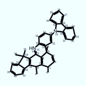 CC1C=CC2(C)C3=C1C(C)C1=C(C3(C)Nc3ccc(-n4c5ccccc5c5ccccc54)cc32)C(C)(C)c2ccccc21